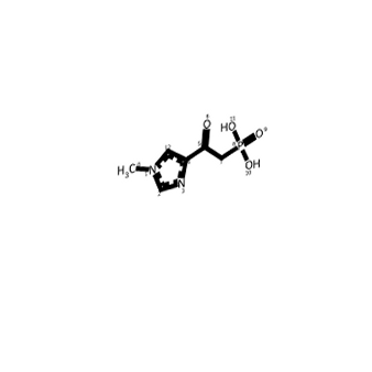 Cn1cnc(C(=O)CP(=O)(O)O)c1